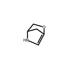 C1=C2CC(CO2)N1